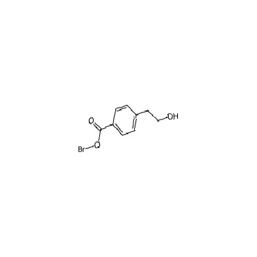 O=C(OBr)c1ccc(CCO)cc1